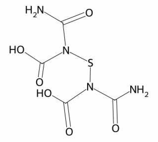 NC(=O)N(SN(C(N)=O)C(=O)O)C(=O)O